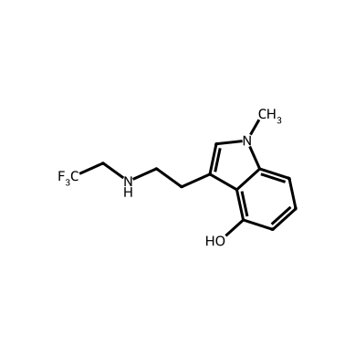 Cn1cc(CCNCC(F)(F)F)c2c(O)cccc21